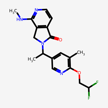 CNc1nccc2c1CN(C(C)c1cnc(OCC(F)F)c(C)c1)C2=O